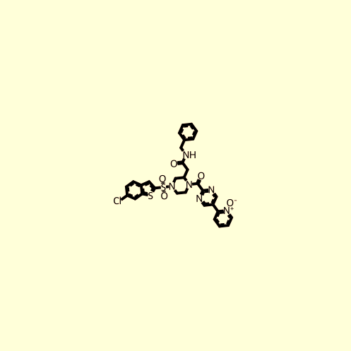 O=C(CC1CN(S(=O)(=O)c2cc3ccc(Cl)cc3s2)CCN1C(=O)c1ncc(-c2cccc[n+]2[O-])cn1)NCc1ccccc1